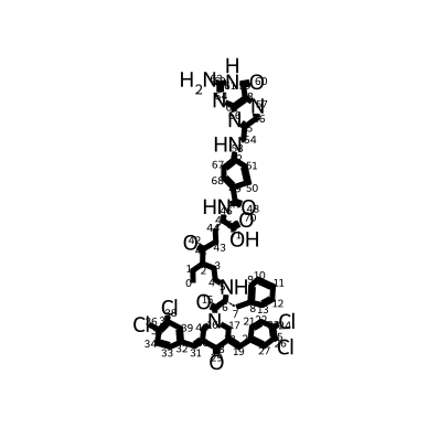 CCC(CCN[C@H](Cc1ccccc1)C(=O)N1C/C(=C\c2ccc(Cl)c(Cl)c2)C(=O)/C(=C/c2ccc(Cl)c(Cl)c2)C1)C(=O)CC[C@H](NC(=O)c1ccc(NCc2cnc3c(=O)[nH]c(N)nc3n2)cc1)C(=O)O